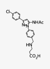 CC(=O)Nc1cc(-c2ccc(Cl)cc2)nn1-c1ccc(CNCCC(=O)O)cc1